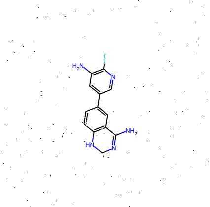 NC1=NCNc2ccc(-c3cnc(F)c(N)c3)cc21